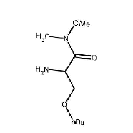 CCCCOCC(N)C(=O)N(C)OC